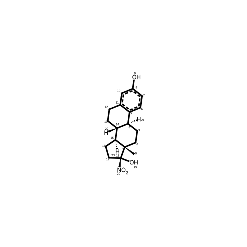 C[C@]12CC[C@@H]3c4ccc(O)cc4CC[C@H]3[C@@H]1CC[C@]2(O)[N+](=O)[O-]